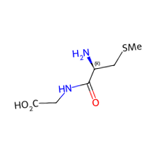 CSC[C@H](N)C(=O)NCC(=O)O